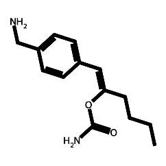 CCCCC(=Cc1ccc(CN)cc1)OC(N)=O